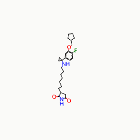 O=C1CC(CCCCCCCNC2(c3ccc(F)c(OCC4CCCC4)c3)CC2)C(=O)N1